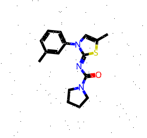 Cc1cccc(-n2cc(C)s/c2=N\C(=O)N2CCCC2)c1